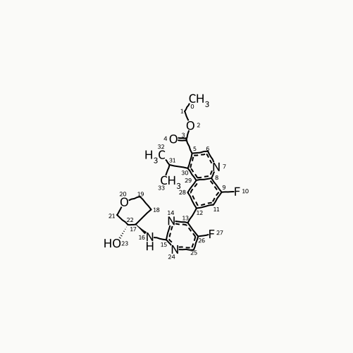 CCOC(=O)c1cnc2c(F)cc(-c3nc(N[C@@H]4CCOC[C@H]4O)ncc3F)cc2c1C(C)C